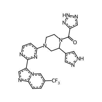 O=C(c1cn[nH]n1)N1CCN(c2ccnc(-c3cnc4ccc(C(F)(F)F)cn34)n2)CC1c1cn[nH]c1